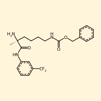 C[C@](N)(CCCCNC(=O)OCc1ccccc1)C(=O)Nc1cccc(C(F)(F)F)c1